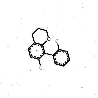 Clc1ccccc1-c1c(Cl)ccc2c1OCCC2